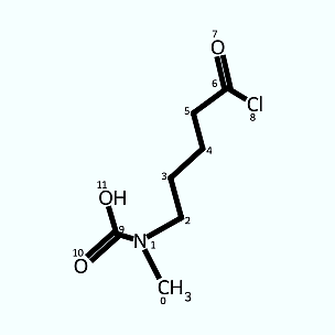 CN(CCCCC(=O)Cl)C(=O)O